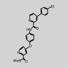 CCc1ccc(-c2ccnc(C(=O)Nc3ccc(Oc4ccnc(C(=O)NC)c4)cc3)c2)cc1